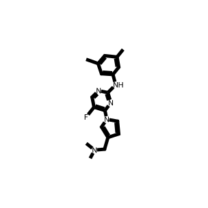 Cc1cc(C)cc(Nc2ncc(F)c(-n3ccc(CN(C)C)c3)n2)c1